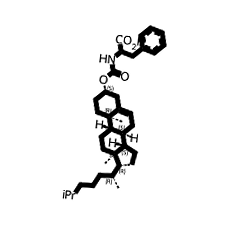 CC(C)CCC[C@@H](C)[C@H]1CC[C@H]2[C@@H]3CC=C4C[C@@H](OC(=O)NC(Cc5ccccc5)C(=O)O)CC[C@]4(C)[C@H]3CC[C@]12C